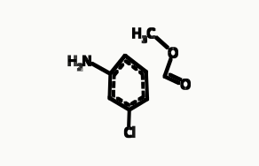 COC=O.Nc1cccc(Cl)c1